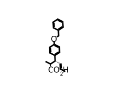 CC=C[C@@H](c1ccc(OCc2ccccc2)cc1)[C@H](C)C(=O)O